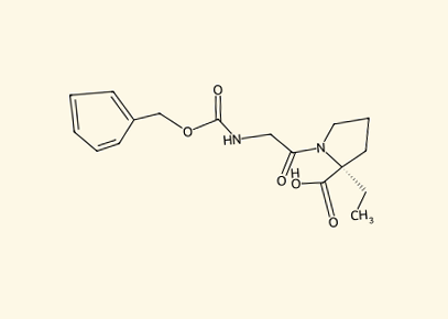 CC[C@@]1(C(=O)O)CCCN1C(=O)CNC(=O)OCc1ccccc1